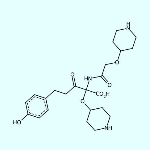 O=C(COC1CCNCC1)NC(OC1CCNCC1)(C(=O)O)C(=O)CCc1ccc(O)cc1